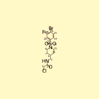 O=C(CCl)NCC1CCN(S(=O)(=O)c2ccc(Br)c(F)c2)CC1